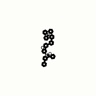 c1ccc(-c2ccc3c(c2)c2c4ccccc4oc2n3-c2ccc3oc4ccc(-c5cccc(-c6cccc([Si](c7ccccc7)(c7ccccc7)c7ccccc7)c6)c5)cc4c3c2)cc1